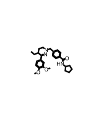 CCC1CCN(Cc2ccc(C(=O)NC3CCCC3)cc2)N=C1c1ccc(OC)c(OC)c1